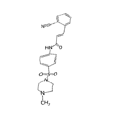 CN1CCN(S(=O)(=O)c2ccc(NC(=O)C=Cc3ccccc3C#N)cc2)CC1